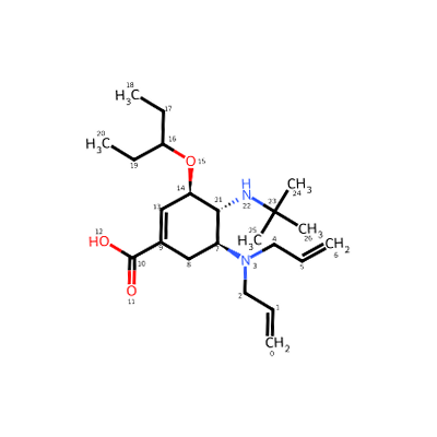 C=CCN(CC=C)[C@H]1CC(C(=O)O)=C[C@@H](OC(CC)CC)[C@@H]1NC(C)(C)C